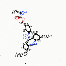 COc1ccc2c(Nc3cccc(COC(=O)NC(C)C)c3)c3ccc(OC)cc3nc2c1